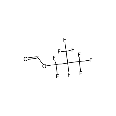 O=[C]OC(F)(F)C(F)(C(F)(F)F)C(F)(F)F